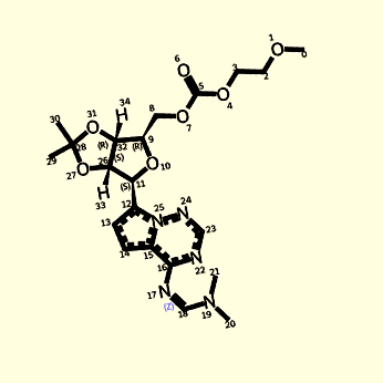 COCCOC(=O)OC[C@H]1O[C@@H](c2ccc3c(/N=C\N(C)C)ncnn23)[C@@H]2OC(C)(C)O[C@@H]21